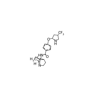 C[C@H]1[C@H](NC(=O)c2ccc(OC3CC(C(F)(F)F)CN3)cc2)C2CCN1CC2